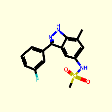 Cc1cc(NS(C)(=O)=O)cc2c(-c3cccc(F)c3)n[nH]c12